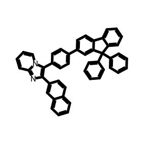 c1ccc(C2(c3ccccc3)c3ccccc3-c3ccc(-c4ccc(-c5c(-c6ccc7ccccc7c6)nc6ccccn56)cc4)cc32)cc1